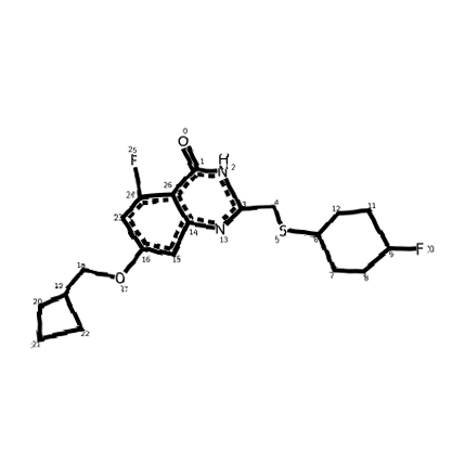 O=c1[nH]c(CSC2CCC(F)CC2)nc2cc(OCC3CCC3)cc(F)c12